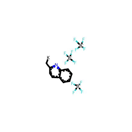 F[B-](F)(F)F.F[B-](F)(F)F.F[B-](F)(F)F.[K][CH2]c1ccc2ccccc2n1